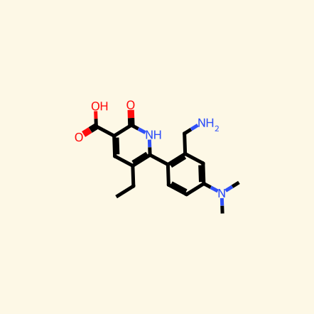 CCc1cc(C(=O)O)c(=O)[nH]c1-c1ccc(N(C)C)cc1CN